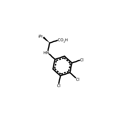 CC(C)[C@H](Nc1cc(Cl)c(Cl)c(Cl)c1)C(=O)O